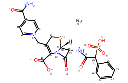 NC(=O)c1cc[n+](CC2=C(C(=O)O)N3C(=O)[C@@H](NC(=O)C(c4ccccc4)S(=O)(=O)O)[C@H]3SC2)cc1.[Na+]